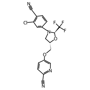 N#Cc1ccc(OC[C@@H]2CN(c3ccc(C#N)c(Cl)c3)[C@@H](C(F)(F)F)O2)cn1